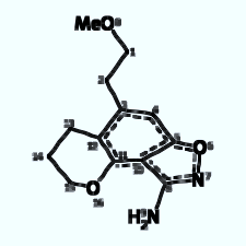 COCCc1cc2onc(N)c2c2c1CCCO2